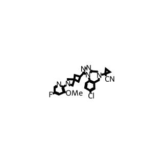 COc1cc(F)cnc1N1CC2(CC(c3nnc4n3-c3ccc(Cl)cc3CN(C3(C#N)CC3)C4)C2)C1